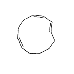 [CH]1/C=C\CC/C=C\C=C\CCC1